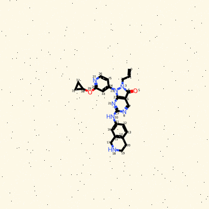 C=CCn1c(=O)c2cnc(Nc3ccc4c(c3)CNCC4)nc2n1-c1ccnc(OC2CC2)c1